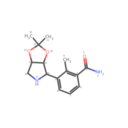 Cc1c(C(N)=O)cccc1C1NCC2OC(C)(C)OC21